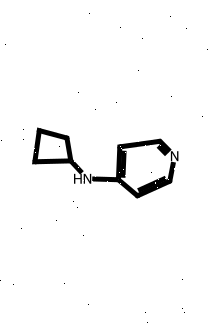 c1cc(NC2CCC2)ccn1